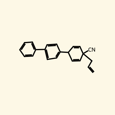 C=CCC1(C#N)C=CC(c2ccc(-c3ccccc3)cc2)C=C1